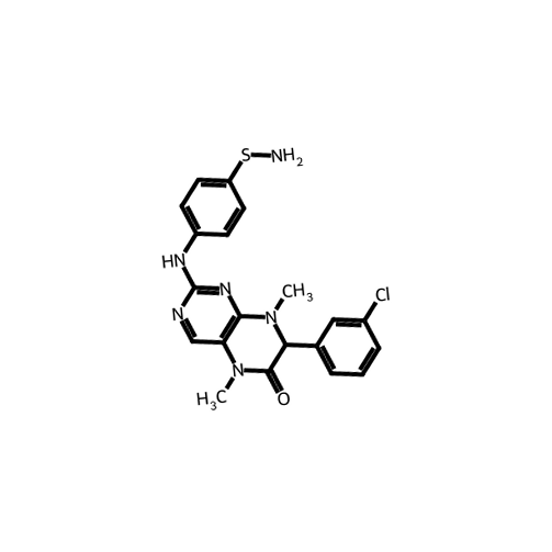 CN1C(=O)C(c2cccc(Cl)c2)N(C)c2nc(Nc3ccc(SN)cc3)ncc21